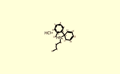 CCCCNC1(c2ccccc2C)C=CC=CC1.Cl